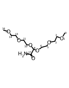 COCCOCCOC(OCCOCCOC)C(N)=O